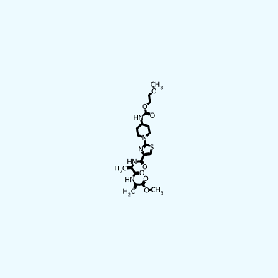 C=C(NC(=O)c1csc(N2CCC(NC(=O)OCCOC)CC2)n1)C(=O)NC(=C)C(=O)OC